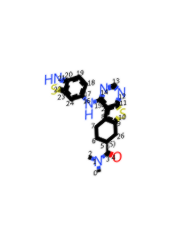 CN(C)C(=O)[C@H]1CCc2c(sc3ncnc(Nc4ccc5[nH]sc5c4)c23)C1